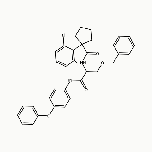 O=C(Nc1ccc(Oc2ccccc2)cc1)C(COCc1ccccc1)NC(=O)C1(c2c(F)cccc2Cl)CCCC1